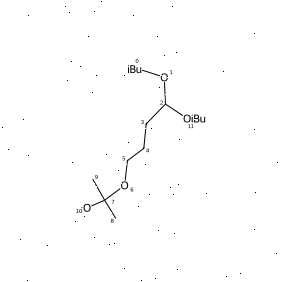 CCC(C)OC(CCCOC(C)(C)[O])OCC(C)C